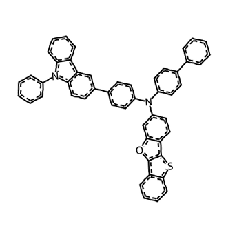 c1ccc(-c2ccc(N(c3ccc(-c4ccc5c(c4)c4ccccc4n5-c4ccccc4)cc3)c3ccc4c(c3)oc3c5ccccc5sc43)cc2)cc1